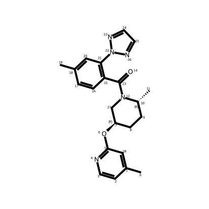 Cc1ccnc(O[C@@H]2CC[C@@H](C)N(C(=O)c3ccc(C)cc3-n3nccn3)C2)c1